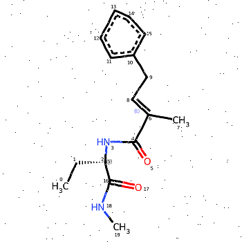 CC[C@H](NC(=O)/C(C)=C/Cc1ccccc1)C(=O)NC